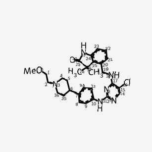 COCCN1CCC(c2ccc(Nc3ncc(Cl)c(NCc4cccc5c4C(C)(C)C(=O)N5)n3)cc2)CC1